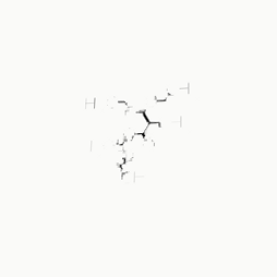 CCOC(OCC)=C(C)C(=O)O[SiH](C)OCC